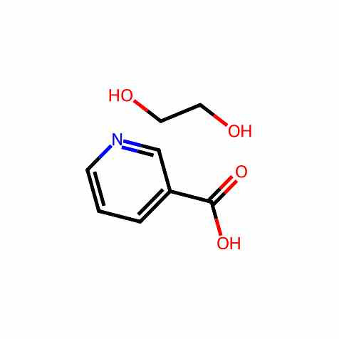 O=C(O)c1cccnc1.OCCO